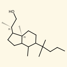 CCCC(C)(C)C1CC[C@@]2(C)C(CCC2[C@H](C)CO)C1C